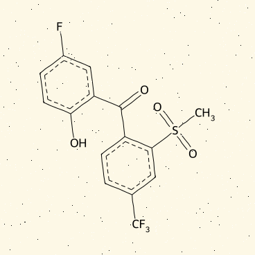 CS(=O)(=O)c1cc(C(F)(F)F)ccc1C(=O)c1cc(F)ccc1O